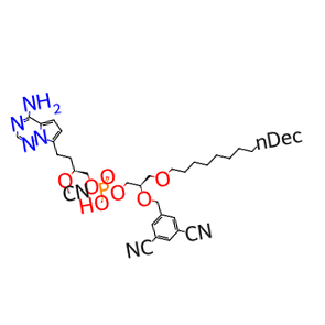 CCCCCCCCCCCCCCCCCCOC[C@H](COP(=O)(O)OC[C@H](CCc1ccc2c(N)ncnn12)OC#N)OCc1cc(C#N)cc(C#N)c1